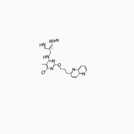 CN/C=C(\C=N)CNc1nc(OCCCc2ccc3ncccc3n2)nc(Cl)c1C